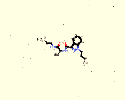 CC(C)(C)[C@H](NC(=O)c1nn(CCCC#N)c2ccccc12)C(=O)NCCC(=O)O